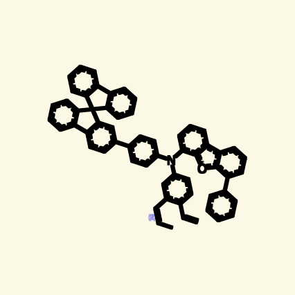 C=Cc1ccc(N(c2ccc(-c3ccc4c(c3)C3(c5ccccc5-c5ccccc53)c3ccccc3-4)cc2)c2cccc3c2oc2c(-c4ccccc4)cccc23)cc1/C=C\C